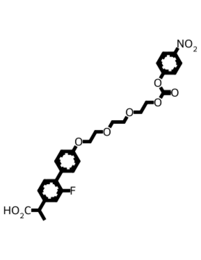 CC(C(=O)O)c1ccc(-c2ccc(OCCOCCOCCOC(=O)Oc3ccc([N+](=O)[O-])cc3)cc2)c(F)c1